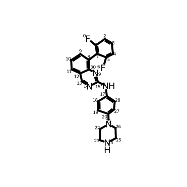 Fc1cccc(F)c1-c1cccc2cnc(Nc3ccc(N4CCNCC4)cc3)nc12